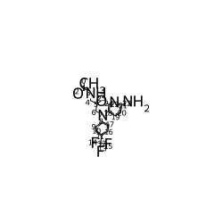 CC(=O)NCC1CN(c2ccc(C(F)(F)F)cc2)c2ccc(N)nc2O1